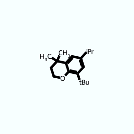 CC(C)c1cc(C(C)(C)C)c2c(c1)C(C)(C)CCO2